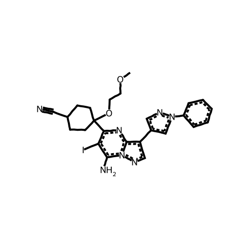 COCCOC1(c2nc3c(-c4cnn(-c5ccccc5)c4)cnn3c(N)c2I)CCC(C#N)CC1